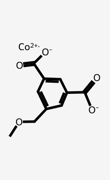 COCc1cc(C(=O)[O-])cc(C(=O)[O-])c1.[Co+2]